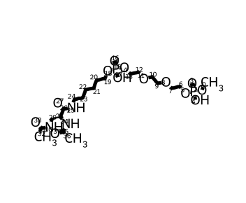 COP(=O)(O)OCCOCCOCCOP(=O)(O)OCCCCCCNC(=O)[C@H](CNC(C)=O)NC(C)=O